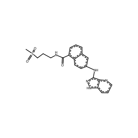 CS(=O)(=O)CCCNC(=O)c1cccc2cc(Nc3n[nH]c4cccnc34)ccc12